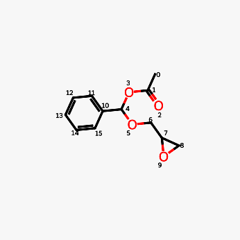 CC(=O)OC(OCC1CO1)c1ccccc1